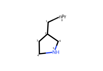 [CH2]CCCC1CCNC1